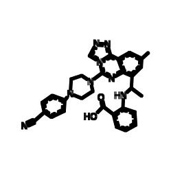 Cc1cc(C(C)Nc2ccccc2C(=O)O)c2nc(N3CCN(c4ccc(C#N)cc4)CC3)n3cnnc3c2c1